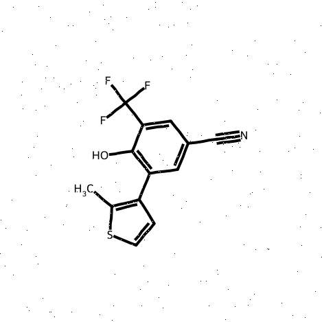 Cc1sccc1-c1cc(C#N)cc(C(F)(F)F)c1O